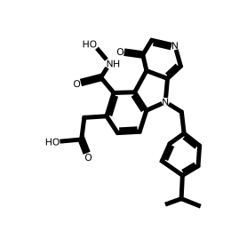 CC(C)c1ccc(CN2C3=CN=CC(=O)C3c3c2ccc(CC(=O)O)c3C(=O)NO)cc1